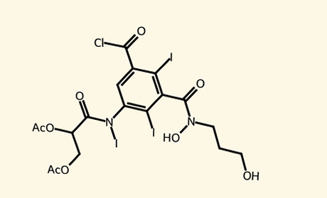 CC(=O)OCC(OC(C)=O)C(=O)N(I)c1cc(C(=O)Cl)c(I)c(C(=O)N(O)CCCO)c1I